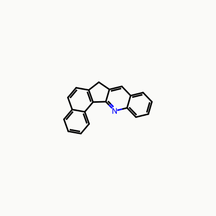 c1ccc2nc3c(cc2c1)Cc1ccc2ccccc2c1-3